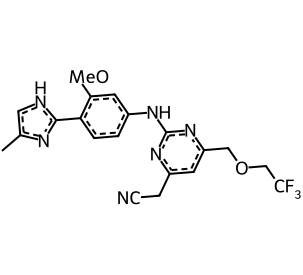 COc1cc(Nc2nc(CC#N)cc(COCC(F)(F)F)n2)ccc1-c1nc(C)c[nH]1